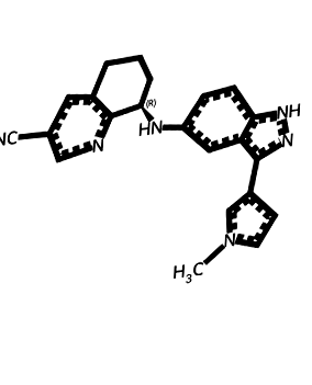 Cn1ccc(-c2n[nH]c3ccc(N[C@@H]4CCCc5cc(C#N)cnc54)cc23)c1